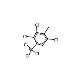 Cc1c(Cl)cc([Si](Cl)(Cl)Cl)c(Cl)c1Cl